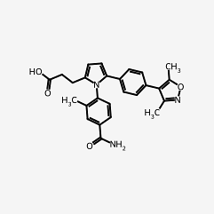 Cc1cc(C(N)=O)ccc1-n1c(CCC(=O)O)ccc1-c1ccc(-c2c(C)noc2C)cc1